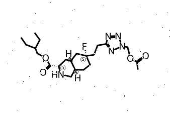 CCC(CC)COC(=O)[C@@H]1C[C@H]2C[C@@](F)(CCc3nnn(COC(C)=O)n3)CC[C@H]2CN1